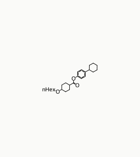 CCCCCCOC1CCC(C(=O)Oc2ccc(C3CCCCC3)cc2)CC1